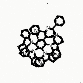 N#Cc1c(-c2ccc(-c3ccccc3)nc2-c2ccccc2)c(-n2c3ccccc3c3ccncc32)c(-n2c3ccccc3c3ccncc32)c(-n2c3ccccc3c3ccncc32)c1-n1c2ccccc2c2ccncc21